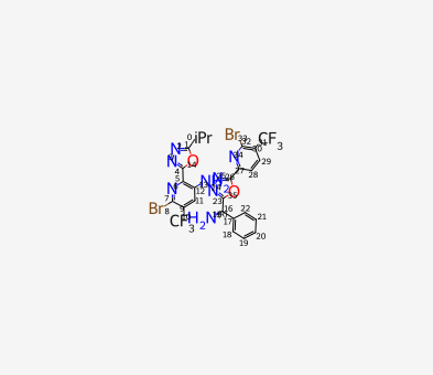 CC(C)c1nnc(-c2nc(Br)c(C(F)(F)F)cc2N)o1.N[C@H](c1ccccc1)c1nnc(-c2ccc(C(F)(F)F)c(Br)n2)o1